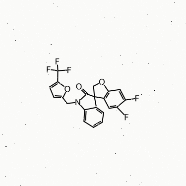 O=C1N(Cc2ccc(C(F)(F)F)o2)c2ccccc2C12COc1cc(F)c(F)cc12